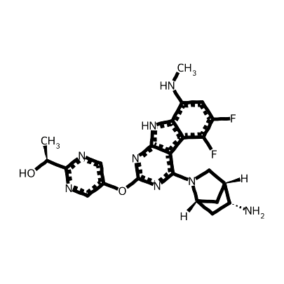 CNc1cc(F)c(F)c2c1[nH]c1nc(Oc3cnc([C@H](C)O)nc3)nc(N3C[C@H]4C[C@@H]3C[C@H]4N)c12